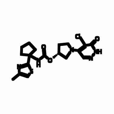 Cc1csc(C2(NC(=O)O[C@@H]3CCN(c4cn[nH]c(=O)c4Cl)C3)CCCC2)n1